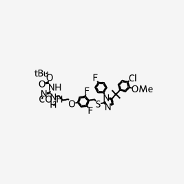 COc1cc(C(C)(C)c2cnc(SCc3c(F)cc(OCCCN/C(=N\C(=O)O)NC(=O)OC(C)(C)C)cc3F)n2-c2ccc(F)cc2)ccc1Cl